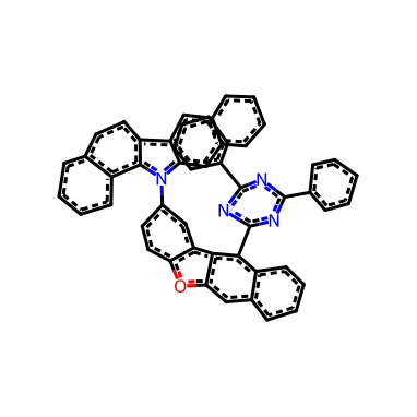 c1ccc(-c2nc(-c3ccccc3)nc(-c3c4ccccc4cc4oc5ccc(-n6c7cc8ccccc8cc7c7ccc8ccccc8c76)cc5c34)n2)cc1